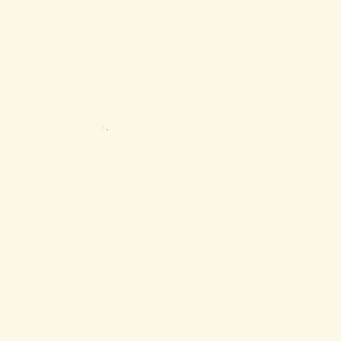 CCOc1c(C)ccc(-c2ccc(NC3(C(=O)O)CCOCC3)cc2COCC(C)C)c1C